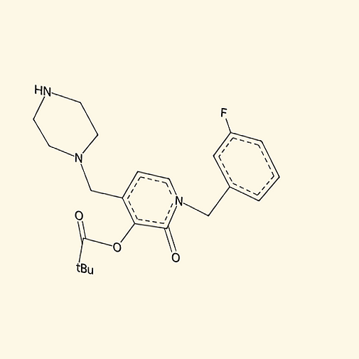 CC(C)(C)C(=O)Oc1c(CN2CCNCC2)ccn(Cc2cccc(F)c2)c1=O